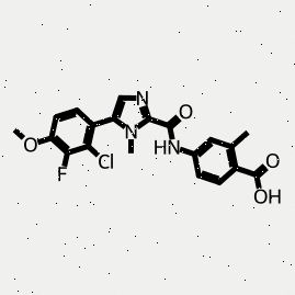 COc1ccc(-c2cnc(C(=O)Nc3ccc(C(=O)O)c(C)c3)n2C)c(Cl)c1F